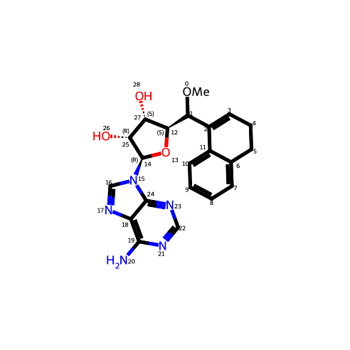 COC(C1=CCCc2ccccc21)[C@H]1O[C@@H](n2cnc3c(N)ncnc32)[C@H](O)[C@@H]1O